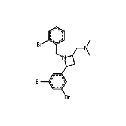 CN(C)CC1CC(c2cc(Br)cc(Br)c2)N1Cc1ccccc1Br